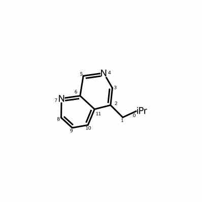 CC(C)Cc1cncc2ncccc12